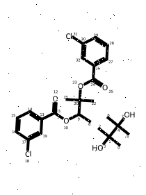 CC(C)(O)C(C)(C)O.CC(OC(=O)c1cccc(Cl)c1)C(C)(C)OC(=O)c1cccc(Cl)c1